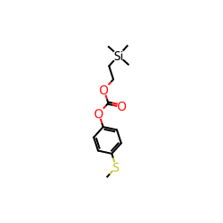 CSc1ccc(OC(=O)OCC[Si](C)(C)C)cc1